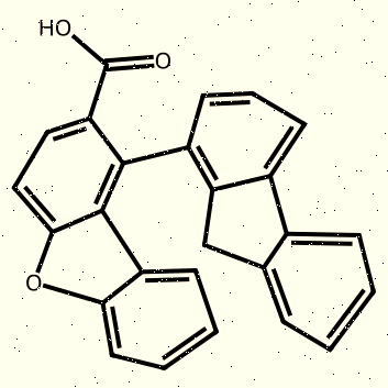 O=C(O)c1ccc2oc3ccccc3c2c1-c1cccc2c1Cc1ccccc1-2